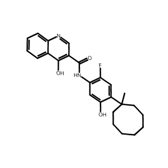 CC1(c2cc(F)c(NC(=O)c3cnc4ccccc4c3O)cc2O)CCCCCCC1